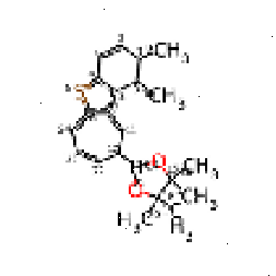 CC1C=Cc2sc3c(c2C1C)=CC(B1OC(C)(C)C(C)(C)O1)C=CC=3